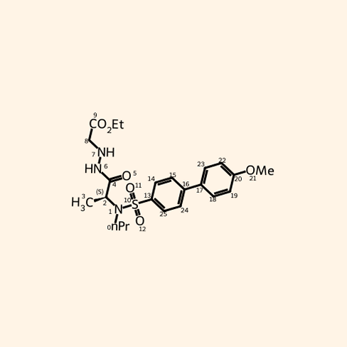 CCCN([C@@H](C)C(=O)NNCC(=O)OCC)S(=O)(=O)c1ccc(-c2ccc(OC)cc2)cc1